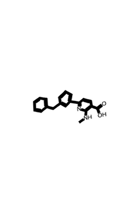 CNc1nc(-c2cccc(Cc3ccccc3)c2)ccc1C(=O)O